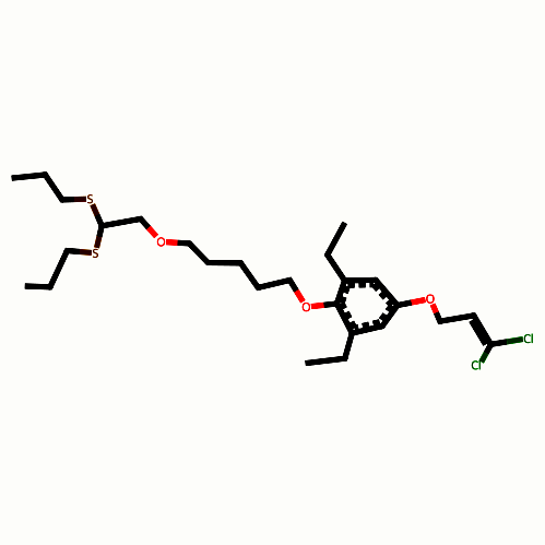 CCCSC(COCCCCCOc1c(CC)cc(OCC=C(Cl)Cl)cc1CC)SCCC